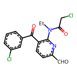 CCN(C(=O)CCl)c1nc(C=O)ccc1C(=O)c1cccc(Cl)c1